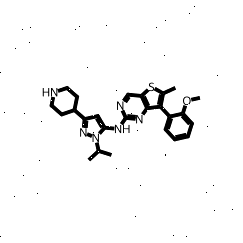 COc1ccccc1-c1c(C)sc2cnc(Nc3cc(C4CCNCC4)nn3C(C)C)nc12